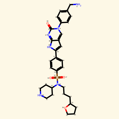 NCc1ccc(-n2cc3cc(-c4ccc(S(=O)(=O)N(CCCC5CCCO5)C5CCNCC5)cc4)[nH]c3nc2=O)cc1